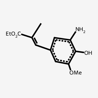 CCOC(=O)C(C)=Cc1cc(N)c(O)c(OC)c1